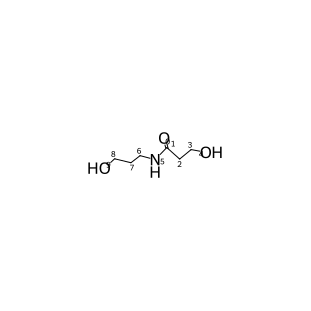 O=C(CCO)NCCCO